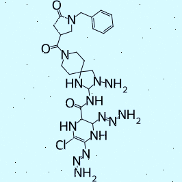 NN=NC1=C(Cl)NC(C(=O)NC2NC3(CCN(C(=O)C4CC(=O)N(Cc5ccccc5)C4)CC3)CN2N)C(N=NN)N1